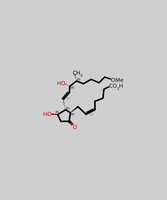 COCCCC[C@@H](C)[C@@H](O)/C=C/[C@H]1[C@H](O)CC(=O)[C@@H]1C/C=C\CCCC(=O)O